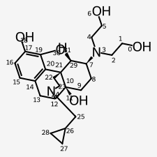 OCCN(CCO)[C@H]1CC[C@]2(O)C3Cc4ccc(O)c5c4[C@]2(CCN3CC2CC2)[C@@H]1O5